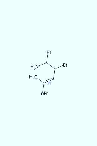 CCC/C(C)=C/C(CC)C(N)CC